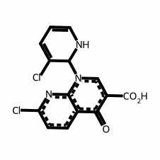 O=C(O)c1cn(C2NC=CC=C2Cl)c2nc(Cl)ccc2c1=O